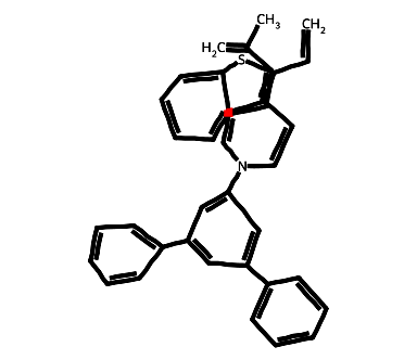 C=Cc1sc2ccccc2c1/C=C\N(/C=C\C=C/C(=C)C)c1cc(-c2ccccc2)cc(-c2ccccc2)c1